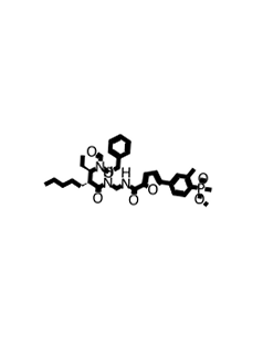 CCCCC[C@@H](C(=O)NCNC(=O)c1ccc(-c2ccc(P(C)(=O)OC)c(C)c2)o1)[C@@H](CC)N(C=O)OCc1ccccc1